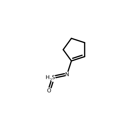 O=[SH2]=NC1=CCCC1